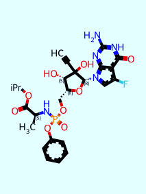 C#CC1(O)[C@@H](O)[C@@H](COP(=O)(N[C@@H](C)C(=O)OC(C)C)Oc2ccccc2)O[C@H]1n1cc(F)c2c(=O)[nH]c(N)nc21